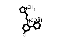 CN1CCCC1CCN(C(=O)O)c1ccc(Cl)cc1-c1cccc(Cl)c1